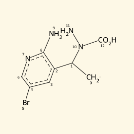 [CH2]C(c1cc(Br)cnc1N)N(N)C(=O)O